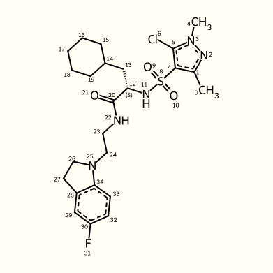 Cc1nn(C)c(Cl)c1S(=O)(=O)N[C@@H](CC1CCCCC1)C(=O)NCCN1CCc2cc(F)ccc21